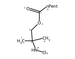 CCCCCC(=O)OCC(C)(C)NCl